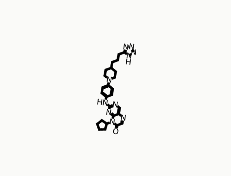 O=c1cnc2cnc(Nc3ccc(N4CCC(CCCc5nnn[nH]5)CC4)cc3)nc2n1C1CCCC1